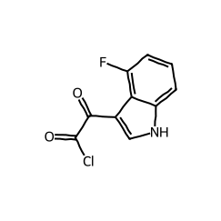 O=C(Cl)C(=O)c1c[nH]c2cccc(F)c12